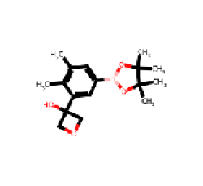 Cc1cc(B2OC(C)(C)C(C)(C)O2)cc(C2(O)COC2)c1C